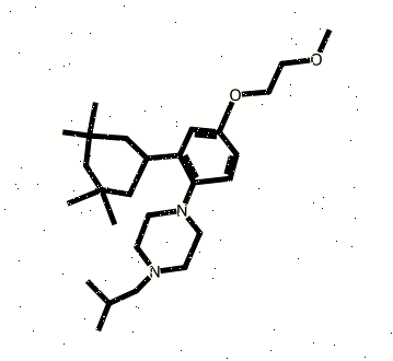 COCCOc1ccc(N2CCN(CC(C)C)CC2)c(C2CC(C)(C)CC(C)(C)C2)c1